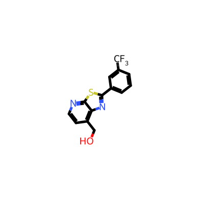 OCc1ccnc2sc(-c3cccc(C(F)(F)F)c3)nc12